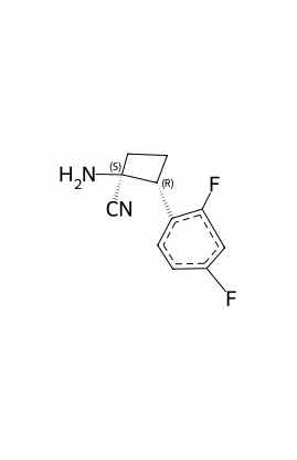 N#C[C@]1(N)CC[C@@H]1c1ccc(F)cc1F